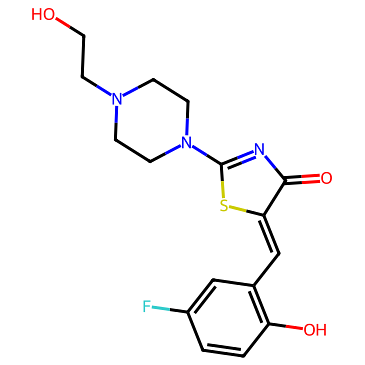 O=C1N=C(N2CCN(CCO)CC2)S/C1=C\c1cc(F)ccc1O